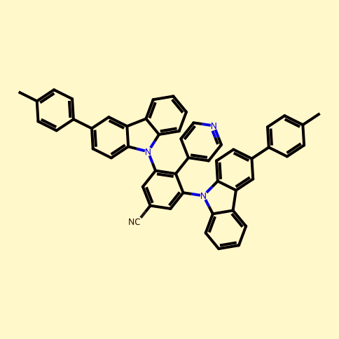 Cc1ccc(-c2ccc3c(c2)c2ccccc2n3-c2cc(C#N)cc(-n3c4ccccc4c4cc(-c5ccc(C)cc5)ccc43)c2-c2ccncc2)cc1